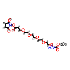 CC(C)(C)OC(=O)NOCCOCCOCCOCCOCCC(=O)ON1C(=O)CCC1=O